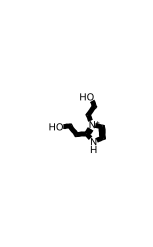 OCCc1[nH]cc[n+]1CCO